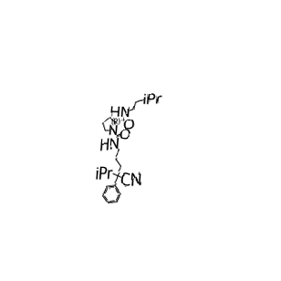 CC(C)CCNC(=O)[C@H]1CCCN1C(=O)NCCCC(C#N)(c1ccccc1)C(C)C